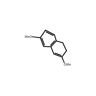 COC1=Cc2cc(OC)ccc2CC1